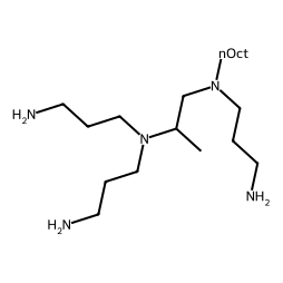 CCCCCCCCN(CCCN)CC(C)N(CCCN)CCCN